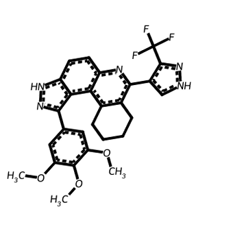 COc1cc(-c2n[nH]c3ccc4nc(-c5c[nH]nc5C(F)(F)F)c5c(c4c23)CCCC5)cc(OC)c1OC